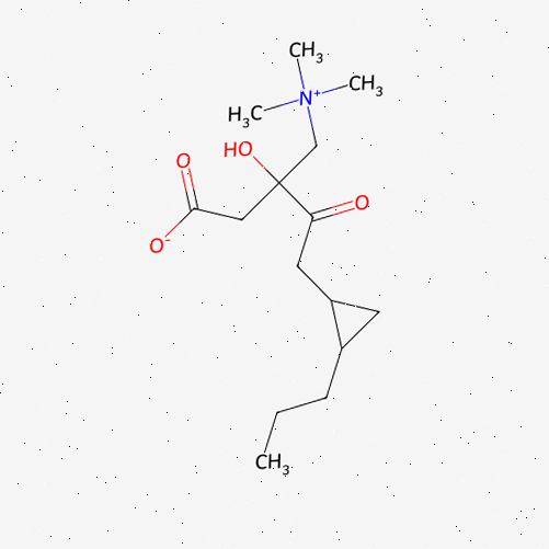 CCCC1CC1CC(=O)C(O)(CC(=O)[O-])C[N+](C)(C)C